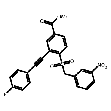 COC(=O)c1ccc(S(=O)(=O)Cc2cccc([N+](=O)[O-])c2)c(C#Cc2ccc(F)cc2)c1